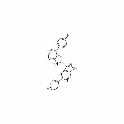 Fc1ccc(-c2ccnc3[nH]c(-c4n[nH]c5cnc(C6=CCNCC6)cc45)cc23)cc1